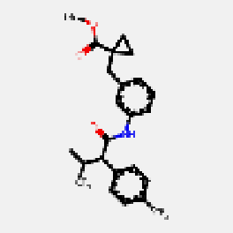 CC(C(C(=O)Nc1cccc(CC2(C(=O)OC(C)(C)C)CC2)c1)c1ccc(C(F)(F)F)cc1)C(F)(F)F